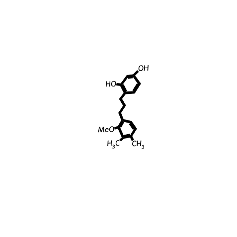 COc1c(CCCc2ccc(O)cc2O)ccc(C)c1C